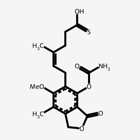 COc1c(C)c2c(c(OC(N)=O)c1CC=C(C)CCC(O)=S)C(=O)OC2